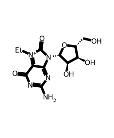 CC[N+]1=C2C(=O)N=C(N)N=C2N([C@@H]2O[C@H](CO)[C@@H](O)[C@H]2O)C1=O